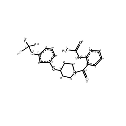 CC(=O)Nc1ncccc1C(=O)N1CCC(Oc2cccc(OC(F)(F)F)c2)CC1